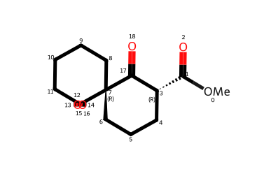 COC(=O)[C@@H]1CCC[C@@]2(CCCCC23OCCO3)C1=O